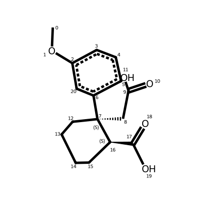 COc1cccc([C@]2(CC(=O)O)CCCC[C@@H]2C(=O)O)c1